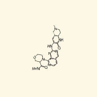 CNC(=O)C1COCCN1c1nccc2cnc(Nc3cc4c([nH]c3=O)CCN(C)C4)nc12